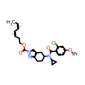 C/C=C\C=C/CCOC(=O)n1cc2c(n1)CCC(N(C(=O)c1ccc(OC(C)C)cc1Cl)C1CC1)C2